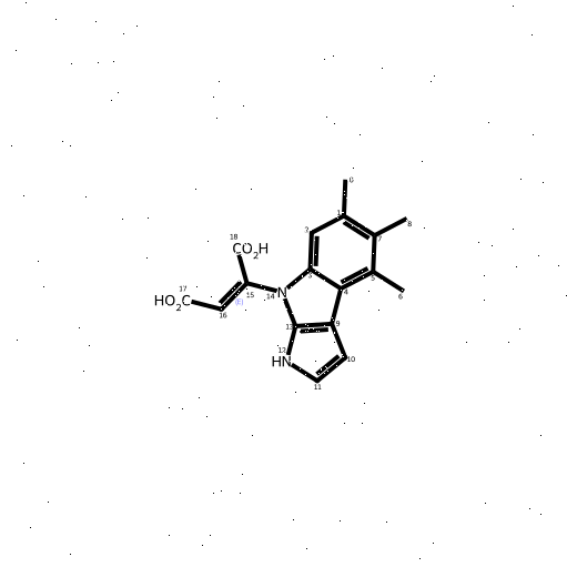 Cc1cc2c(c(C)c1C)c1cc[nH]c1n2/C(=C/C(=O)O)C(=O)O